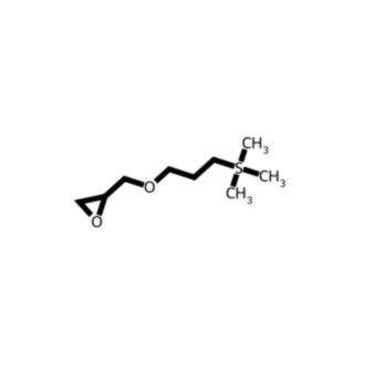 CS(C)(C)CCCOCC1CO1